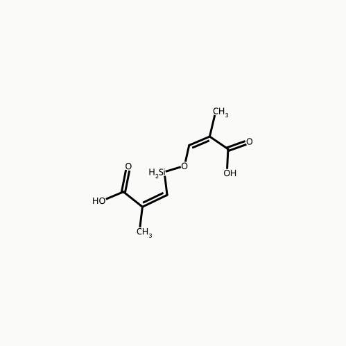 CC(=CO[SiH2]C=C(C)C(=O)O)C(=O)O